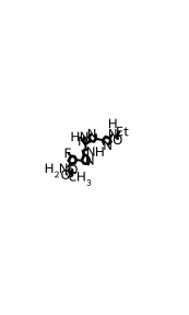 CCC(=O)Nc1cncc(-c2cnc3[nH]nc(-c4cc5c(-c6cc(F)cc(C(N)S(C)(=O)=O)c6)ccnc5[nH]4)c3c2)c1